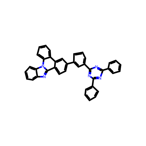 c1ccc(-c2nc(-c3ccccc3)nc(-c3cccc(-c4ccc5c(c4)c4ccccc4n4c6ccccc6nc54)c3)n2)cc1